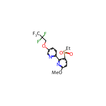 CCS(=O)(=O)c1ccc(OC)nc1-c1ccc(OCC(F)(F)C(F)(F)F)cn1